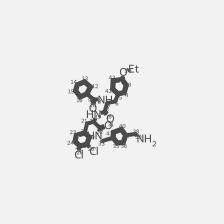 CCOc1ccc(CC(NC(=O)c2ccccc2)C(=O)NC(Cc2ccc(Cl)c(Cl)c2)C(=O)NCc2ccc(CN)cc2)cc1